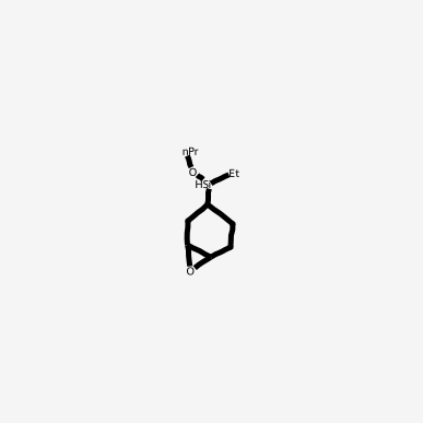 CCCO[SiH](CC)C1CCC2OC2C1